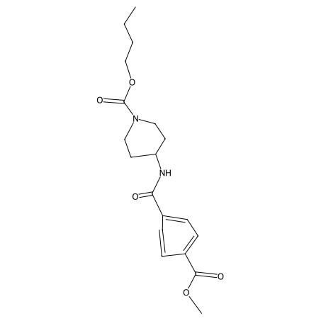 CCCCOC(=O)N1CCC(NC(=O)c2ccc(C(=O)OC)cc2)CC1